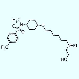 CCN(CCO)CCCCCCO[C@H]1CC[C@H](N(C)S(=O)(=O)c2ccc(C(F)(F)F)cc2)CC1